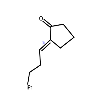 CC(C)CC/C=C1\CCCC1=O